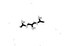 CC(O)OCC(O)COC(C)O